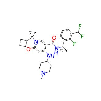 C[C@@H](NC(=O)c1cn(C2(C3CCC3)CC2)c(=O)cc1NC1CCN(C)CC1)c1cccc(C(F)F)c1F